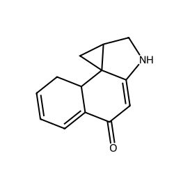 O=C1C=C2NCC3CC23C2CC=CC=C12